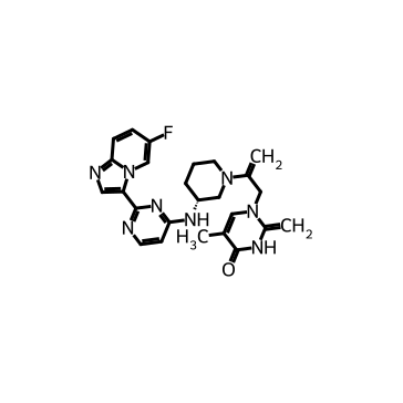 C=C1NC(=O)C(C)=CN1CC(=C)N1CCC[C@@H](Nc2ccnc(-c3cnc4ccc(F)cn34)n2)C1